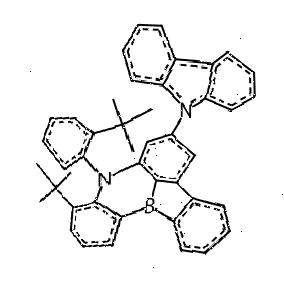 CC(C)(C)c1ccccc1N1c2cc(-n3c4ccccc4c4ccccc43)cc3c2B(c2ccccc2-3)c2cccc(C(C)(C)C)c21